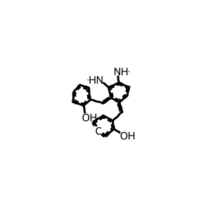 [NH]c1ccc(=Cc2ccccc2O)c(=Cc2ccccc2O)c1[NH]